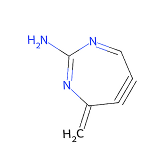 C=C1C#CC=NC(N)=N1